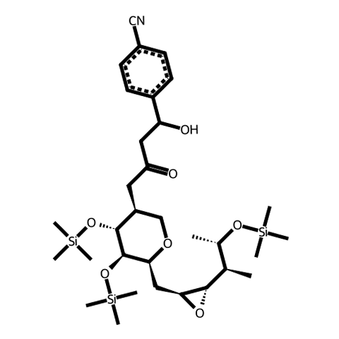 C[C@@H]([C@@H]1O[C@H]1C[C@@H]1OC[C@H](CC(=O)CC(O)c2ccc(C#N)cc2)[C@@H](O[Si](C)(C)C)[C@@H]1O[Si](C)(C)C)[C@H](C)O[Si](C)(C)C